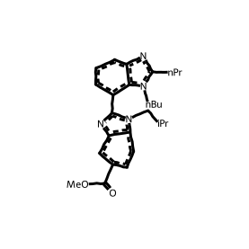 CCCCn1c(CCC)nc2cccc(-c3nc4cc(C(=O)OC)ccc4n3CC(C)C)c21